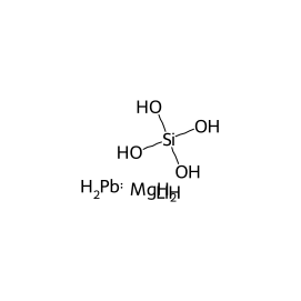 O[Si](O)(O)O.[LiH].[MgH2].[PbH2]